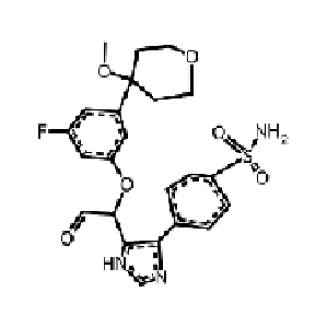 COC1(c2cc(F)cc(OC(C=O)c3[nH]cnc3-c3ccc(S(N)(=O)=O)cc3)c2)CCOCC1